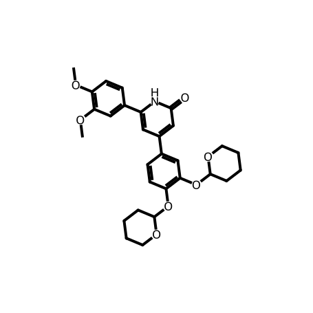 COc1ccc(-c2cc(-c3ccc(OC4CCCCO4)c(OC4CCCCO4)c3)cc(=O)[nH]2)cc1OC